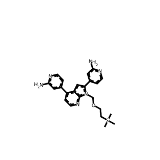 C[Si](C)(C)CCOCn1c(-c2ccnc(N)c2)cc2c(-c3ccnc(N)c3)ccnc21